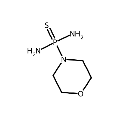 NP(N)(=S)N1CCOCC1